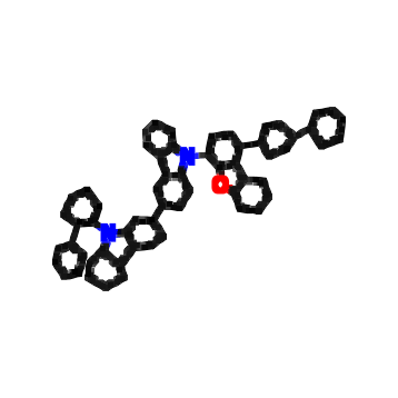 c1ccc(-c2ccc(-c3ccc(-n4c5ccccc5c5cc(-c6ccc7c8ccccc8n(-c8ccccc8-c8ccccc8)c7c6)ccc54)c4oc5ccccc5c34)cc2)cc1